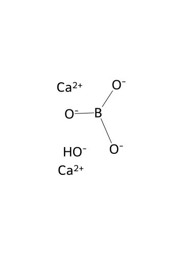 [Ca+2].[Ca+2].[O-]B([O-])[O-].[OH-]